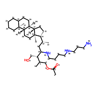 CC(=O)OCC(C)[C@H](CO)C(C[C@@H](C)[C@H]1CC[C@H]2[C@@H]3CCC4CCCC[C@]4(C)[C@H]3CC[C@]12C)NCCCCNCCCN